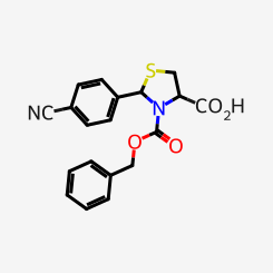 N#Cc1ccc(C2SCC(C(=O)O)N2C(=O)OCc2ccccc2)cc1